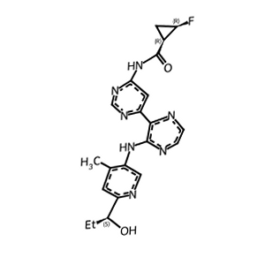 CC[C@H](O)c1cc(C)c(Nc2nccnc2-c2cc(NC(=O)[C@H]3C[C@H]3F)ncn2)cn1